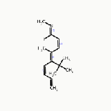 C=C\C=C/C(=C(C)/C=C\C(I)=N\C)C(C)(C)C